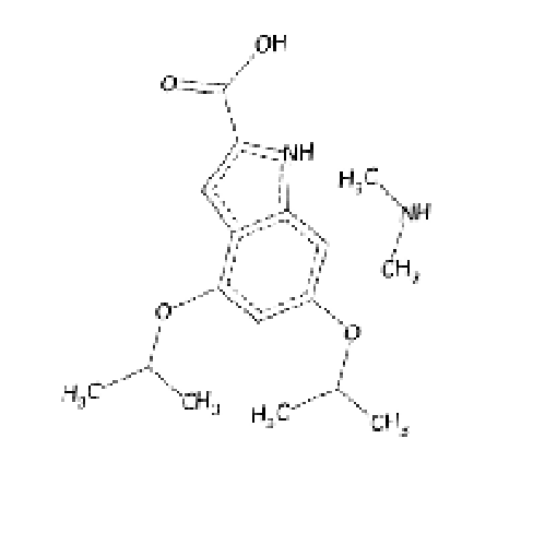 CC(C)Oc1cc(OC(C)C)c2cc(C(=O)O)[nH]c2c1.CNC